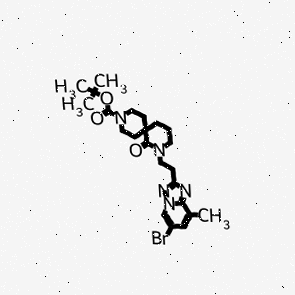 Cc1cc(Br)cn2nc(CCN3CCCC4(CCN(C(=O)OC(C)(C)C)CC4)C3=O)nc12